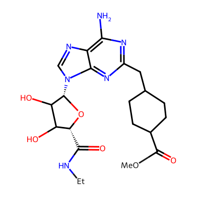 CCNC(=O)[C@H]1O[C@@H](n2cnc3c(N)nc(CC4CCC(C(=O)OC)CC4)nc32)C(O)C1O